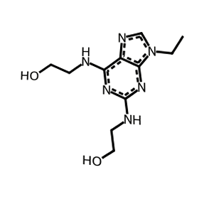 CCn1cnc2c(NCCO)nc(NCCO)nc21